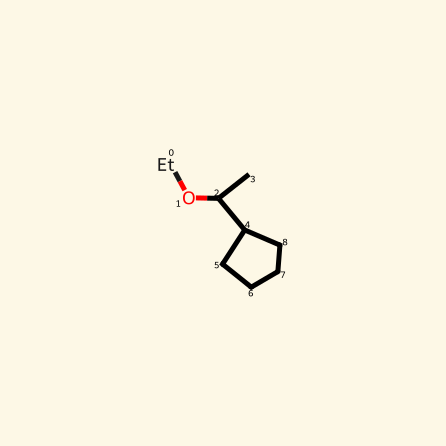 CCOC(C)C1CCCC1